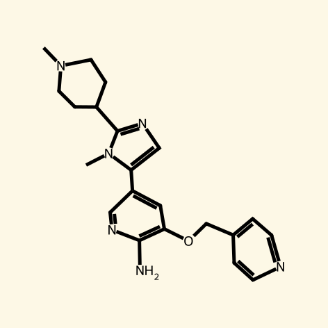 CN1CCC(c2ncc(-c3cnc(N)c(OCc4ccncc4)c3)n2C)CC1